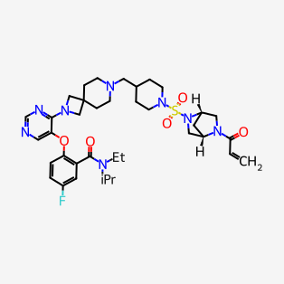 C=CC(=O)N1C[C@@H]2C[C@H]1CN2S(=O)(=O)N1CCC(CN2CCC3(CC2)CN(c2ncncc2Oc2ccc(F)cc2C(=O)N(CC)C(C)C)C3)CC1